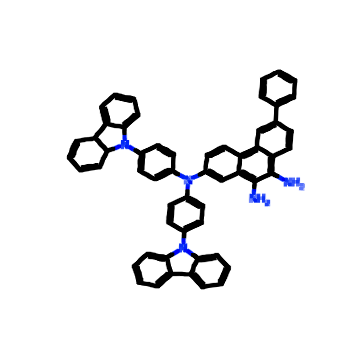 Nc1c(N)c2ccc(-c3ccccc3)cc2c2ccc(N(c3ccc(N4c5ccccc5C5C=CC=CC54)cc3)c3ccc(-n4c5ccccc5c5ccccc54)cc3)cc12